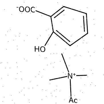 CC(=O)[N+](C)(C)C.O=C([O-])c1ccccc1O